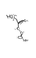 CCCCOOOC(=O)C(=O)O